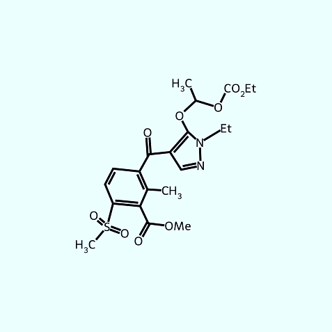 CCOC(=O)OC(C)Oc1c(C(=O)c2ccc(S(C)(=O)=O)c(C(=O)OC)c2C)cnn1CC